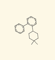 CC1(C)CCC(c2ccccc2-c2ccccc2)CC1